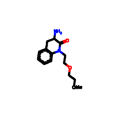 COCCOCCN1C(=O)C(N)Cc2ccccc21